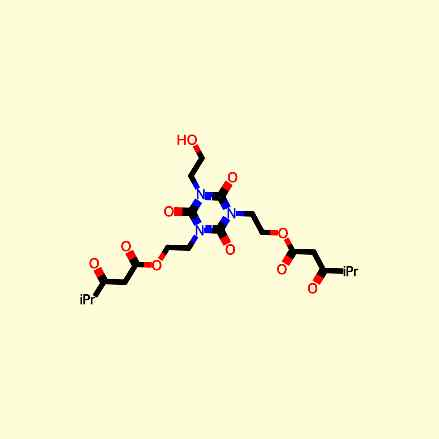 CC(C)C(=O)CC(=O)OCCn1c(=O)n(CCO)c(=O)n(CCOC(=O)CC(=O)C(C)C)c1=O